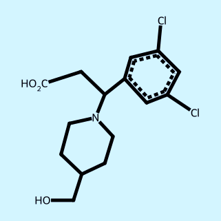 O=C(O)CC(c1cc(Cl)cc(Cl)c1)N1CCC(CO)CC1